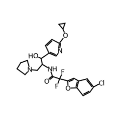 O=C(NC(CN1CCCC1)C(O)c1ccc(OC2CC2)nc1)C(F)(F)c1cc2cc(Cl)ccc2o1